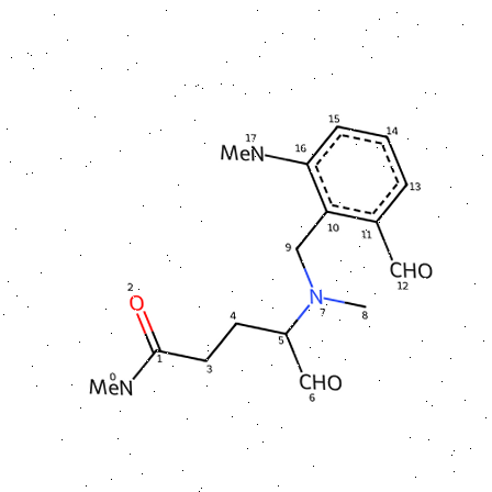 CNC(=O)CCC(C=O)N(C)Cc1c(C=O)cccc1NC